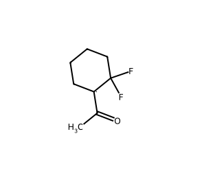 CC(=O)[C]1CCCCC1(F)F